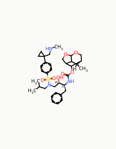 CNCC1(c2ccc(S(=O)(=O)N(CC(C)C)C[C@@H](O)[C@H](Cc3ccccc3)NC(=O)OC3C4COC5OCC3[C@H](C)C54)cc2)CC1